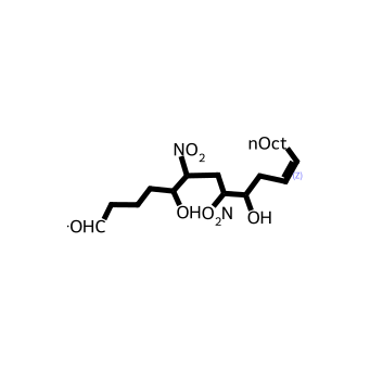 CCCCCCCC/C=C\CC(O)C(CC(C(O)CCC[C]=O)[N+](=O)[O-])[N+](=O)[O-]